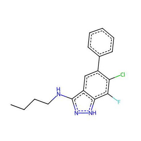 CCCCNc1n[nH]c2c(F)c(Cl)c(-c3ccccc3)cc12